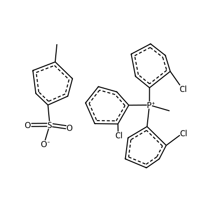 C[P+](c1ccccc1Cl)(c1ccccc1Cl)c1ccccc1Cl.Cc1ccc(S(=O)(=O)[O-])cc1